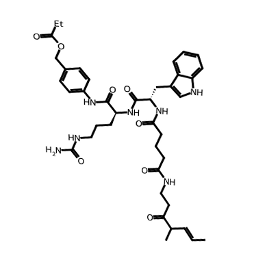 CC=CC(C)C(=O)CCNC(=O)CCCC(=O)N[C@@H](Cc1c[nH]c2ccccc12)C(=O)N[C@@H](CCCNC(N)=O)C(=O)Nc1ccc(COC(=O)CC)cc1